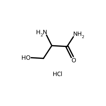 Cl.NC(=O)C(N)CO